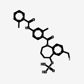 Cc1ccccc1C(=O)Nc1ccc(C(=O)N2CCCC(OP(=O)(O)O)c3cc(CI)ccc32)c(C)c1